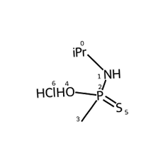 CC(C)NP(C)(O)=S.Cl